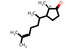 CC(C)=CCCC(C)C1CCC(=O)[C@@H]1C